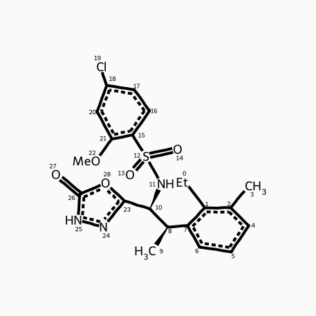 CCc1c(C)cccc1[C@@H](C)[C@H](NS(=O)(=O)c1ccc(Cl)cc1OC)c1n[nH]c(=O)o1